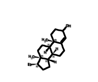 CC[C@H]1CC[C@H]2[C@@H]3CCC4=CC(O)CC[C@]4(C)[C@H]3CC[C@]12C